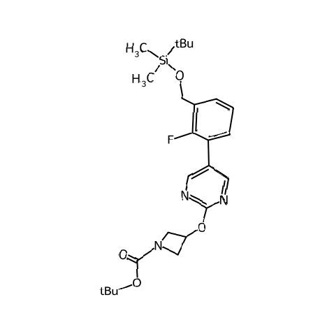 CC(C)(C)OC(=O)N1CC(Oc2ncc(-c3cccc(CO[Si](C)(C)C(C)(C)C)c3F)cn2)C1